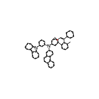 CC/C=C(/c1ccccc1)c1c(C)cccc1-c1cccc(N(c2cccc(-n3c4ccccc4c4ccccc43)c2)c2ccc3c(ccc4ccccc43)c2)c1